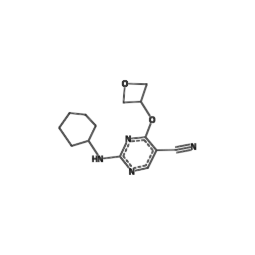 N#Cc1cnc(NC2CCCCC2)nc1OC1COC1